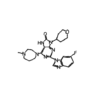 CN1CCCN(c2nc(-n3cnc4ccc(F)cc43)nc3c2[nH]c(=O)n3C2CCOCC2)CC1